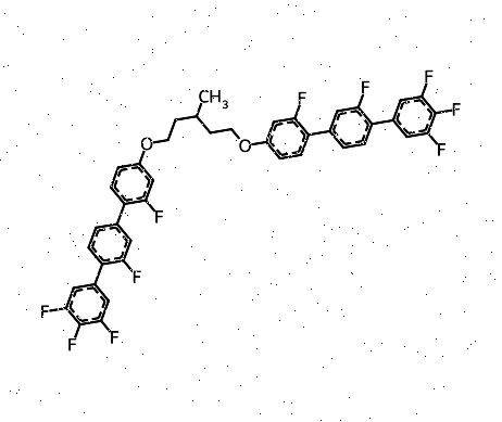 CC(CCOc1ccc(-c2ccc(-c3cc(F)c(F)c(F)c3)c(F)c2)c(F)c1)CCOc1ccc(-c2ccc(-c3cc(F)c(F)c(F)c3)c(F)c2)c(F)c1